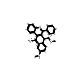 COC(=O)C(c1ccc(OC)cc1)c1c(-c2ccccc2)nc2ccccc2c1C(N)=O